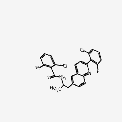 CCc1cccc(Cl)c1C(=O)NC(Cc1ccc2nc(-c3c(F)cccc3Cl)ccc2c1)C(=O)O